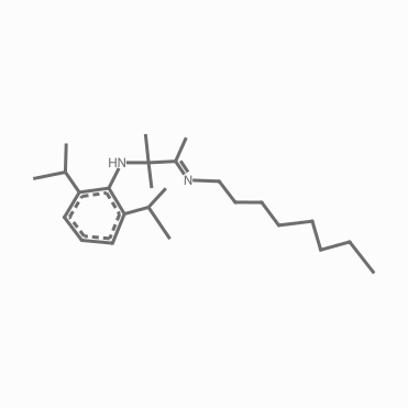 CCCCCCCCN=C(C)C(C)(C)Nc1c(C(C)C)cccc1C(C)C